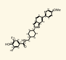 COc1ccc(-c2ccc3cn(C4CCC(CNC(=O)c5cc(F)c(O)c(F)c5)CC4)nc3c2)nc1